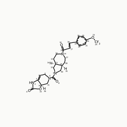 O=C1NC2=CCN(C(=O)N3C[C@H]4CCN(C(=O)/C=C/c5ccc(OC(F)(F)F)cc5)CC[C@H]4C3)C[C@H]2O1